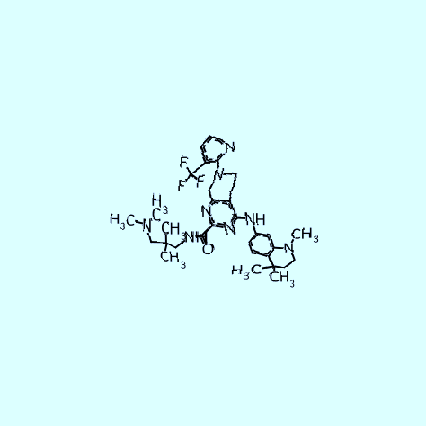 CN(C)CC(C)(C)CNC(=O)c1nc2c(c(Nc3ccc4c(c3)N(C)CCC4(C)C)n1)CCN(c1ncccc1C(F)(F)F)C2